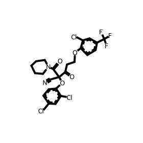 N#CC(Oc1ccc(Cl)cc1Cl)(C(=O)CCOc1ccc(C(F)(F)F)cc1Cl)C(=O)N1CCCCC1